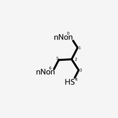 CCCCCCCCCCC(CS)CCCCCCCCCC